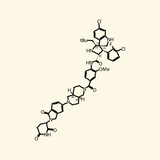 COc1cc(C(=O)N2CC[C@H]3CN(c4ccc5c(c4)CN(C4CCC(=O)NC4=O)C5=O)CC[C@H]3C2)ccc1NC(=O)[C@@H]1N[C@@H](CC(C)(C)C)[C@@]2(CNc3cc(Cl)ccc32)[C@H]1c1cccc(Cl)c1F